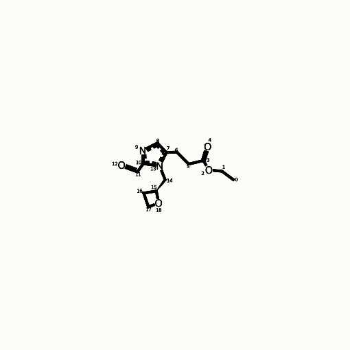 CCOC(=O)CCc1cnc(C=O)n1C[C@@H]1CCO1